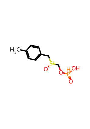 Cc1ccc(C[S@+]([O-])CO[PH](=O)O)cc1